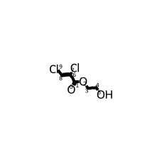 O=C(OCCO)C(Cl)=CCl